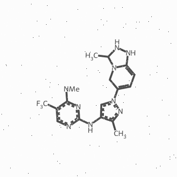 CNc1nc(Nc2cn(C3=CC=C4NNC(C)N4C3)nc2C)ncc1C(F)(F)F